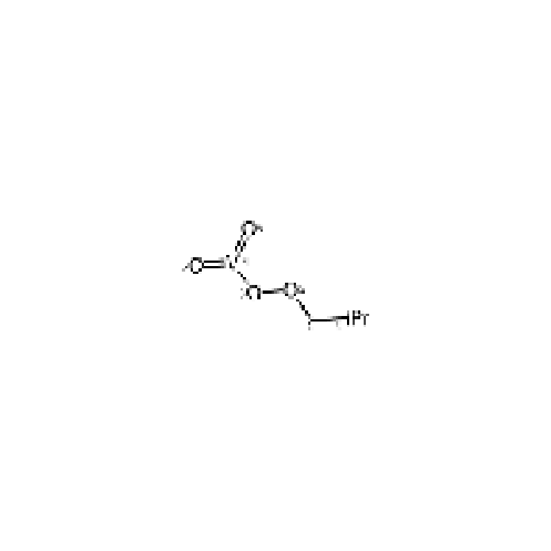 CC(C)CO[O][V](=[O])=[O]